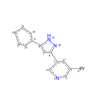 CC(C)c1cncc(-c2cc(-c3ccccc3)[nH]n2)c1